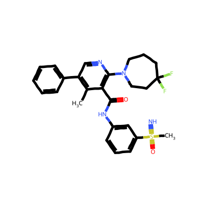 Cc1c(-c2ccccc2)cnc(N2CCCC(F)(F)CC2)c1C(=O)Nc1cccc(S(C)(=N)=O)c1